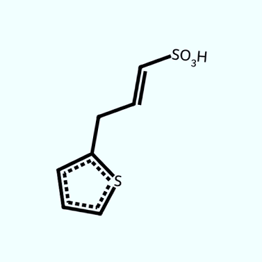 O=S(=O)(O)C=CCc1cccs1